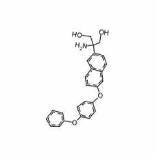 NC(CO)(CO)c1ccc2cc(Oc3ccc(Oc4ccccc4)cc3)ccc2c1